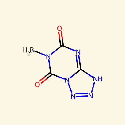 Bn1c(=O)nc2[nH]nnn2c1=O